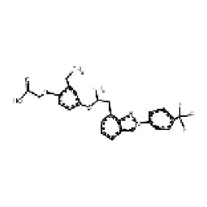 CCc1cc(SC(C)Cc2cccc3cn(-c4ccc(C(F)(F)F)cc4)nc23)ccc1OCC(=O)O